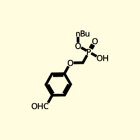 CCCCOP(=O)(O)COc1ccc(C=O)cc1